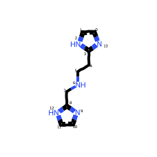 c1c[nH]c(CCNCc2ncc[nH]2)n1